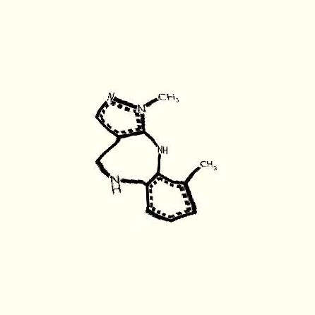 Cc1cccc2c1Nc1c(cnn1C)CN2